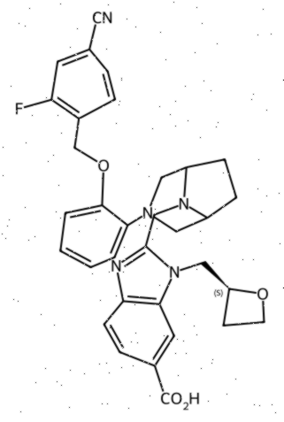 N#Cc1ccc(COc2ccccc2N2CC3CCC(C2)N3Cc2nc3ccc(C(=O)O)cc3n2C[C@@H]2CCO2)c(F)c1